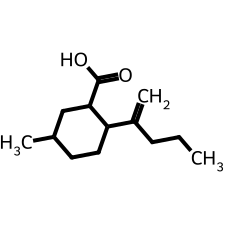 C=C(CCC)C1CCC(C)CC1C(=O)O